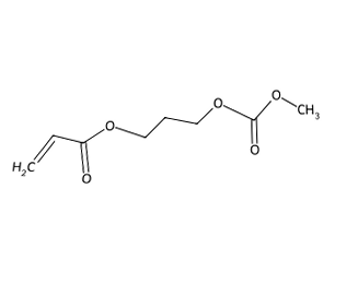 C=CC(=O)OCCCOC(=O)OC